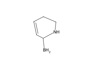 BC1C=CCCN1